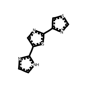 c1c[nH]c(-c2cnc(-c3cscn3)s2)n1